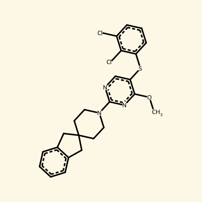 COc1nc(N2CCC3(CC2)Cc2ccccc2C3)ncc1Sc1cccc(Cl)c1Cl